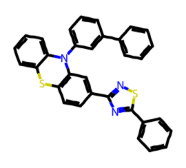 c1ccc(-c2cccc(N3c4ccccc4Sc4ccc(-c5nsc(-c6ccccc6)n5)cc43)c2)cc1